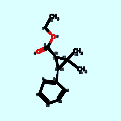 CCOC(=O)[C@@H]1[C@@H](c2ccccc2)C1(C)C